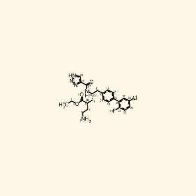 CCOC(=O)[C@H](CCN)C[C@@H](Cc1ccc(-c2cc(Cl)ccc2F)cc1)NC(=O)c1c[nH]nn1